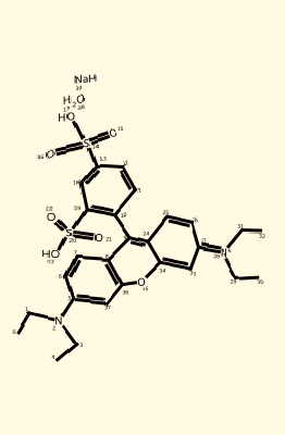 CCN(CC)c1ccc2c(-c3ccc(S(=O)(=O)O)cc3S(=O)(=O)O)c3ccc(=[N+](CC)CC)cc-3oc2c1.O.[NaH]